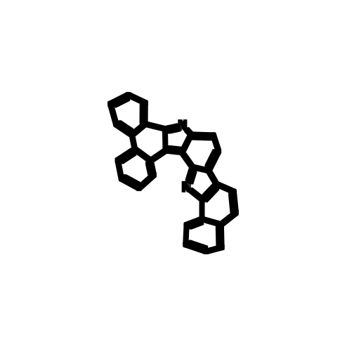 c1ccc2c3c(ccc2c1)-c1ccc2c(c1=N3)=c1c(c3ccccc3c3ccccc13)=N2